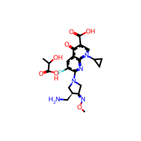 CC(O)C(=O)O.CON=C1CN(c2nc3c(cc2F)c(=O)c(C(=O)O)cn3C2CC2)C[C@@H]1CN